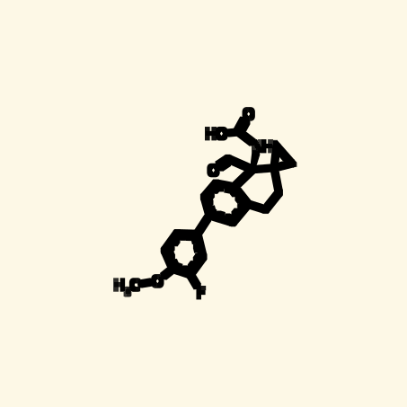 COc1ccc(-c2ccc3c(c2)CCC2(CC2)[C@]3(C=O)NC(=O)O)cc1F